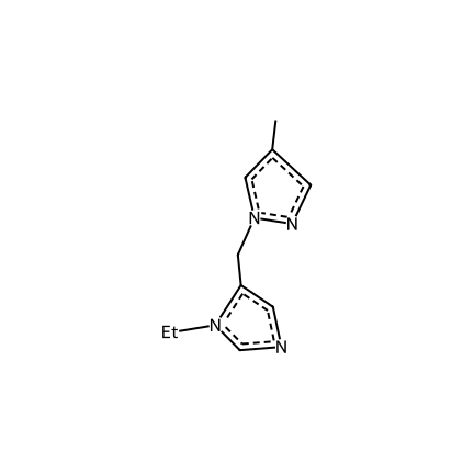 CCn1cncc1Cn1cc(C)cn1